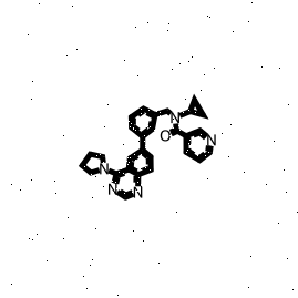 O=C(c1cccnc1)N(Cc1cccc(-c2ccc3ncnc(N4CCCC4)c3c2)c1)C1CC1